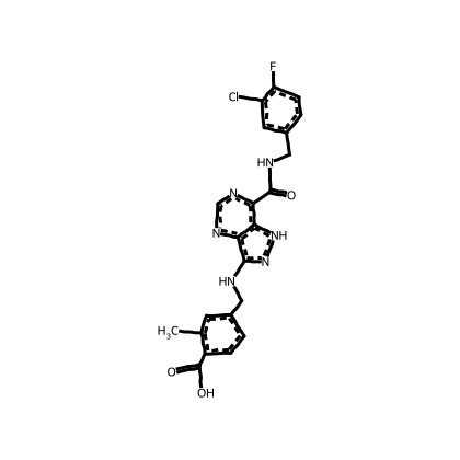 Cc1cc(CNc2n[nH]c3c(C(=O)NCc4ccc(F)c(Cl)c4)ncnc23)ccc1C(=O)O